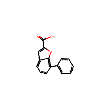 O=C(O)c1cc2cccc(-c3ccccc3)c2o1